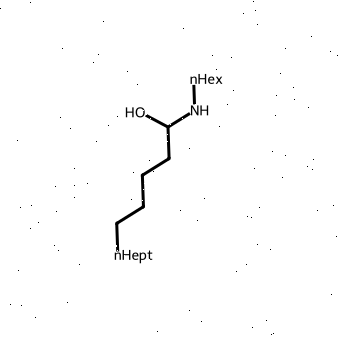 CCCCCCCCCCCC(O)NCCCCCC